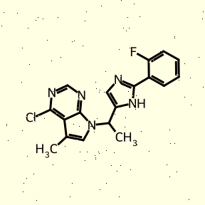 Cc1cn(C(C)c2cnc(-c3ccccc3F)[nH]2)c2ncnc(Cl)c12